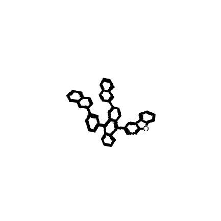 c1cc(-c2ccc3ccccc3c2)cc(-c2c3ccccc3c(-c3ccc4oc5ccccc5c4c3)c3ccc(-c4ccc5ccccc5c4)cc23)c1